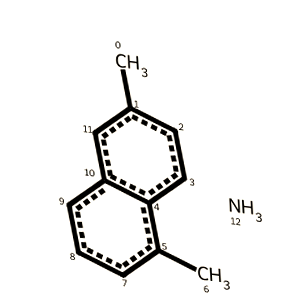 Cc1ccc2c(C)cccc2c1.N